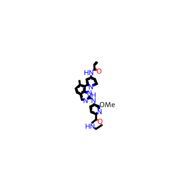 C=CC(=O)Nc1ccnc(-c2c(C)ccc3cnc(Nc4ccc(C5CNCCO5)nc4OC)nc23)c1